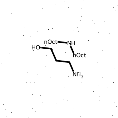 CCCCCCCCNCCCCCCCC.NCCCO